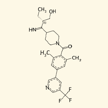 CC[C@H](CO)C(=N)C1CCN(C(=O)c2c(C)cc(-c3cncc(C(F)(F)F)c3)cc2C)CC1